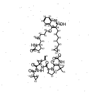 C=C[C@@H]1C[C@]1(NC(=O)C1CCCN1C(=O)[C@@H](NC(=O)O[C@@H]1CC1CCCCCc1c(O)nc2ccccc2c1OCCCN(C)CC1CCC(=O)N1)C(C)(C)C)C(=O)N[S@+]([O-])C1(C)CC1